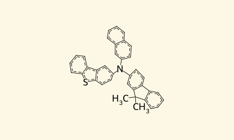 CC1(C)c2ccccc2-c2ccc(N(c3ccc4ccccc4c3)c3ccc4sc5ccccc5c4c3)cc21